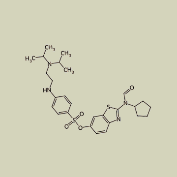 CC(C)N(CCNc1ccc(S(=O)(=O)Oc2ccc3nc(N(C=O)C4CCCC4)sc3c2)cc1)C(C)C